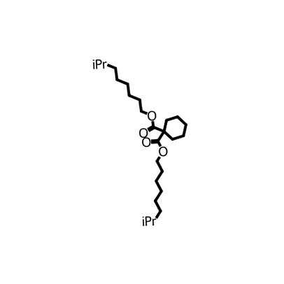 CC(C)CCCCCCOC(=O)C1(C(=O)OCCCCCCC(C)C)CCCCC1